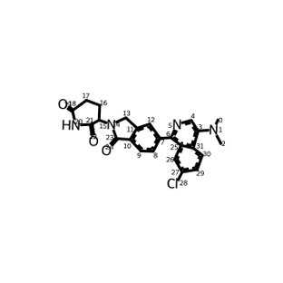 CN(C)c1cnc(-c2ccc3c(c2)CN(C2CCC(=O)NC2=O)C3=O)c2cc(Cl)ccc12